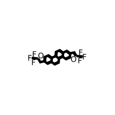 FC(F)(F)c1cc2cc3ccc4c5cc6c(cc5ccc4c3cc2o1)CC(C(F)(F)F)O6